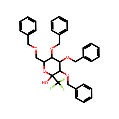 OC1(C(F)(F)F)OC(COCc2ccccc2)C(OCc2ccccc2)C(OCc2ccccc2)C1OCc1ccccc1